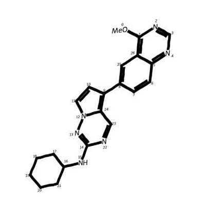 COc1ncnc2ccc(-c3ccn4nc(NC5CCCCC5)ncc34)cc12